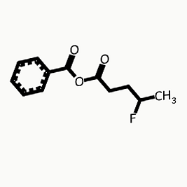 CC(F)CCC(=O)OC(=O)c1ccccc1